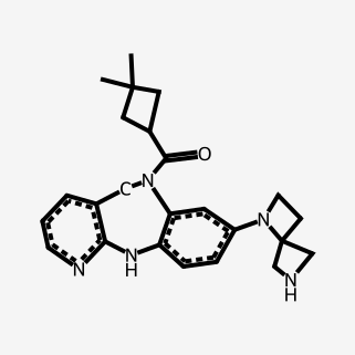 CC1(C)CC(C(=O)N2Cc3cccnc3Nc3ccc(N4CCC45CNC5)cc32)C1